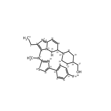 CCc1nc2n(c1N(C)c1nc(-c3ccc(F)cc3)cs1)PC(N1CCC(CO)CC1)C=C2